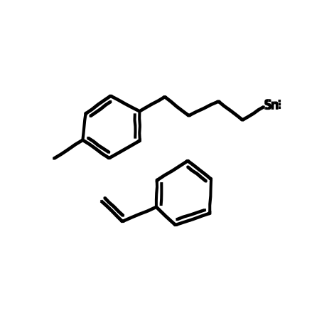 C=Cc1ccccc1.Cc1ccc(CCC[CH2][Sn])cc1